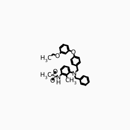 CCOc1cccc(Oc2ccc(CN(Cc3ccccc3)c3cccc(NS(C)(=O)=O)c3C)cc2)c1